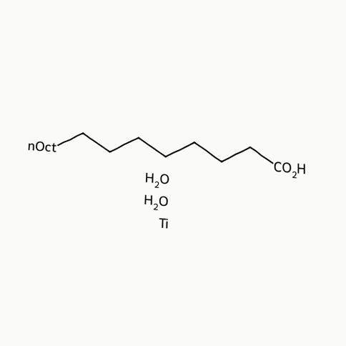 CCCCCCCCCCCCCCCC(=O)O.O.O.[Ti]